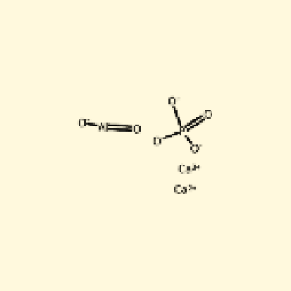 O=P([O-])([O-])[O-].[Ca+2].[Ca+2].[O]=[Al][O-]